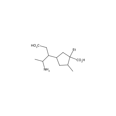 CCC1(C(=O)O)CC(C(CC(=O)O)C(C)N)CC1C